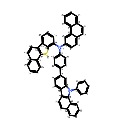 c1ccc(-n2c3cc(-c4ccc(N(c5ccc6ccc7ccccc7c6c5)c5cccc6c5sc5c7ccccc7ccc65)cc4)ccc3c3ccc4ccccc4c32)cc1